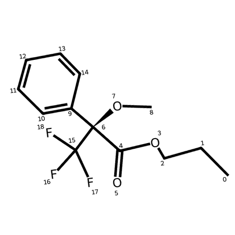 CCCOC(=O)[C@@](OC)(c1ccccc1)C(F)(F)F